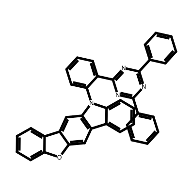 c1ccc(-c2nc(-c3ccccc3)nc(-c3ccccc3-n3c4ccccc4c4cc5oc6ccccc6c5cc43)n2)cc1